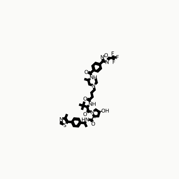 CCN(CCCC(=O)NC(C(=O)N1C[C@H](O)C[C@H]1C(=O)NC(C)c1ccc(-c2scnc2C)cc1)C(C)(C)C)CC(C)NC(=O)c1ccc(-c2noc(C(F)(F)F)n2)cc1